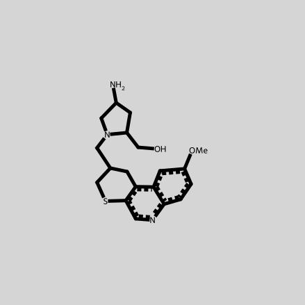 COc1ccc2ncc3c(c2c1)CC(CN1CC(N)CC1CO)CS3